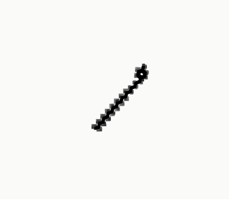 [CH2]c1ccc(CCCCCCCCCCCCCCCCCCCC)cc1